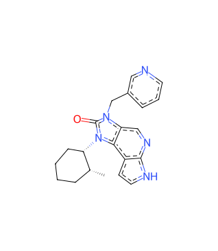 C[C@@H]1CCCC[C@@H]1n1c(=O)n(Cc2cccnc2)c2cnc3[nH]ccc3c21